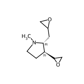 CN1CC[C@H](C2CO2)[C@H]1CC1CO1